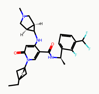 CCC12CC(n3cc(C(=O)N[C@H](C)c4cccc(C(F)F)c4F)c(NC4[C@H]5CN(C)C[C@@H]45)cc3=O)(C1)C2